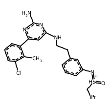 Cc1c(Cl)cccc1-c1cc(NCCc2cccc(/N=[SH](=O)\CC(C)C)c2)nc(N)n1